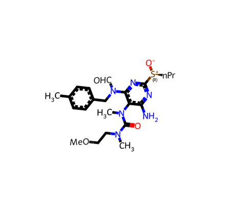 CCC[S@+]([O-])c1nc(N)c(N(C)C(=O)N(C)CCOC)c(N(C=O)Cc2ccc(C)cc2)n1